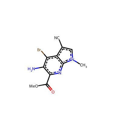 COC(=O)c1nc2c(c(C#N)cn2C)c(Br)c1N